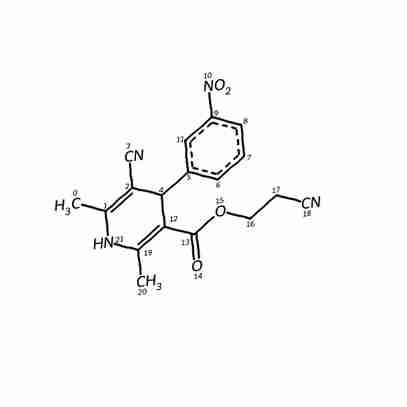 CC1=C(C#N)C(c2cccc([N+](=O)[O-])c2)C(C(=O)OCCC#N)=C(C)N1